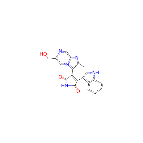 Cc1nc2cnc(CO)cn2c1C1=C(c2c[nH]c3ccccc23)C(=O)NC1=O